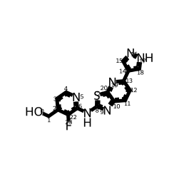 OCc1ccnc(Nc2nc3ccc(-c4cn[nH]c4)nc3s2)c1F